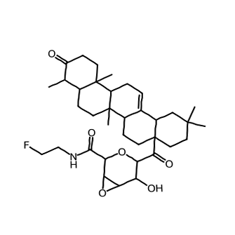 CC1C(=O)CCC2(C)C1CCC1(C)C3CCC4(C(=O)C5OC(C(=O)NCCF)C6OC6C5O)CCC(C)(C)CC4C3=CCC12